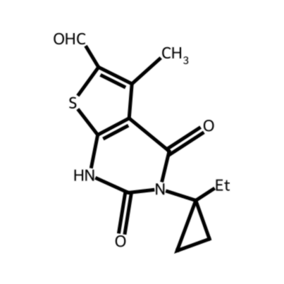 CCC1(n2c(=O)[nH]c3sc(C=O)c(C)c3c2=O)CC1